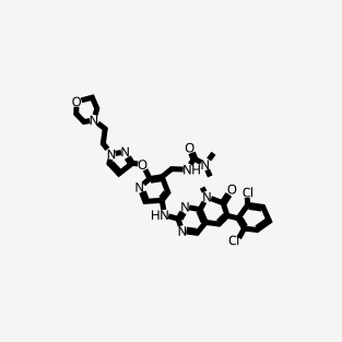 CN(C)C(=O)NCc1cc(Nc2ncc3cc(-c4c(Cl)cccc4Cl)c(=O)n(C)c3n2)cnc1Oc1ccn(CCN2CCOCC2)n1